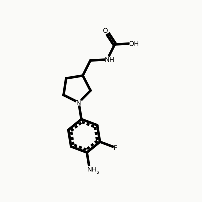 Nc1ccc(N2CCC(CNC(=O)O)C2)cc1F